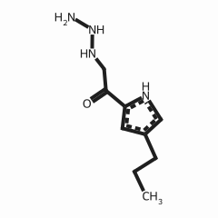 CCCc1c[nH]c(C(=O)CNNN)c1